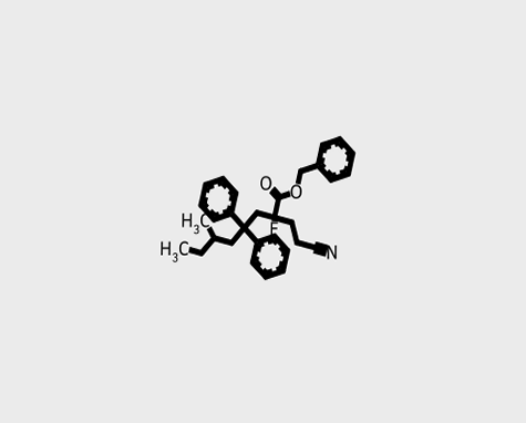 CCC(C)CC(CC(F)(CCC#N)C(=O)OCc1ccccc1)(c1ccccc1)c1ccccc1